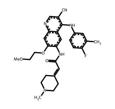 COCCOc1cc2ncc(C#N)c(Nc3ccc(F)c(C)c3)c2cc1NC(=O)C=C1CCN(C)CC1